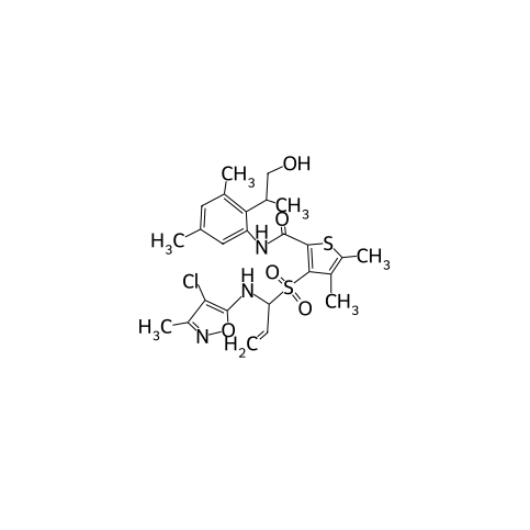 C=CC(Nc1onc(C)c1Cl)S(=O)(=O)c1c(C(=O)Nc2cc(C)cc(C)c2C(C)CO)sc(C)c1C